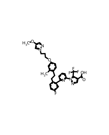 COc1cnn(CCCOc2ccc(CCc3ccc(F)cc3-c3cccc(-n4ncc(C(=O)O)c4C(F)(F)F)n3)c(C)c2)c1